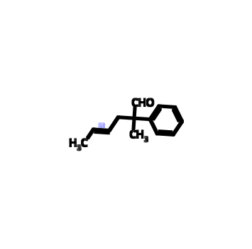 C/C=C/CC(C)(C=O)c1ccccc1